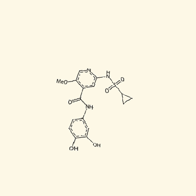 COc1cnc(NS(=O)(=O)C2CC2)cc1C(=O)Nc1ccc(O)c(O)c1